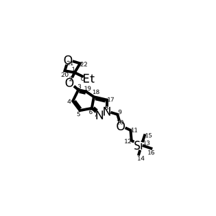 CCC1(Oc2ccc3nn(COCC[Si](C)(C)C)cc3c2)COC1